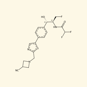 N#CC1CN(Cc2ncc(-c3ccc([C@H](O)[C@@H](CF)NC(=O)C(F)F)cc3)s2)C1